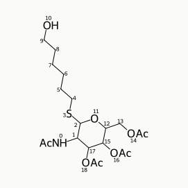 CC(=O)NC1C(SCCCCCCO)OC(COC(C)=O)C(OC(C)=O)C1OC(C)=O